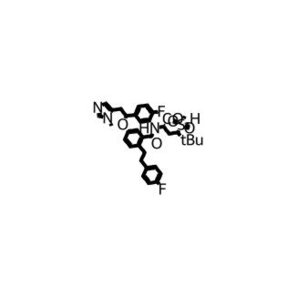 Cn1cncc1CC(Oc1ccc(CCc2ccc(F)cc2)c(C(=O)N[C@@H](CC(C(C)(C)C)S(C)(=O)=O)C(=O)O)c1)c1ccc(F)cc1